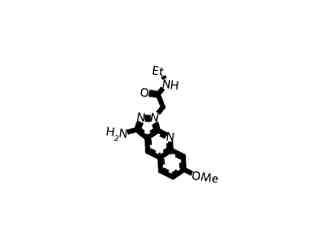 CCNC(=O)Cn1nc(N)c2cc3ccc(OC)cc3nc21